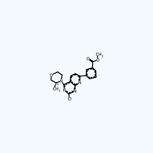 COC(=O)c1cccc(-c2ccc3c(N4CCOC[C@@H]4C)nc(Cl)nc3n2)c1